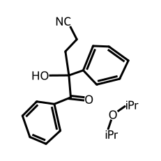 CC(C)OC(C)C.N#CCCC(O)(C(=O)c1ccccc1)c1ccccc1